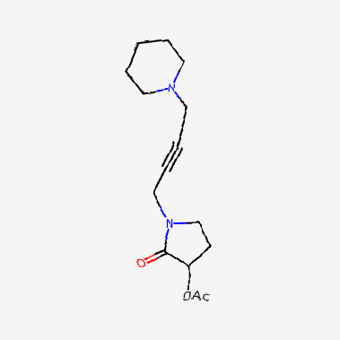 CC(=O)OC1CCN(CC#CCN2CCCCC2)C1=O